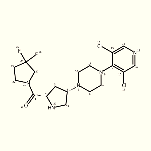 O=C([C@@H]1C[C@H](N2CCN(c3c(Cl)cncc3Cl)CC2)CN1)N1CCC(F)(F)C1